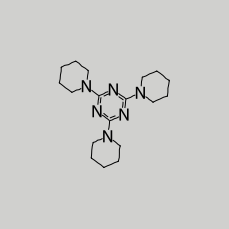 C1CCN(c2nc(N3CCCCC3)nc(N3CCCCC3)n2)CC1